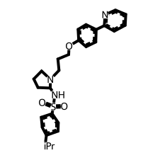 CC(C)c1ccc(S(=O)(=O)NC2CCCN2CCCOc2ccc(-c3ccccn3)cc2)cc1